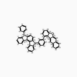 c1ccc(-n2c3ccccc3c3c4c5ccccc5n(-c5cccc(-c6cccc7oc8cc9ccccc9cc8c67)c5)c4ccc32)cc1